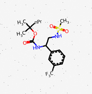 CCCC(C)(C)OC(=O)NC(CNS(C)(=O)=O)c1cccc(C(F)(F)F)c1